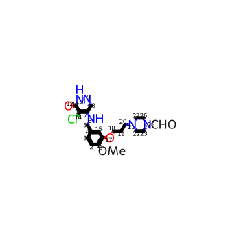 COc1ccc(CNc2cn[nH]c(=O)c2Cl)cc1OCCCN1CCN(C=O)CC1